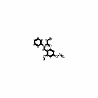 COc1cc(OP=S)ccc1CN(C(=O)CBr)c1ccccc1